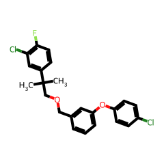 CC(C)(COCc1cccc(Oc2ccc(Cl)cc2)c1)c1ccc(F)c(Cl)c1